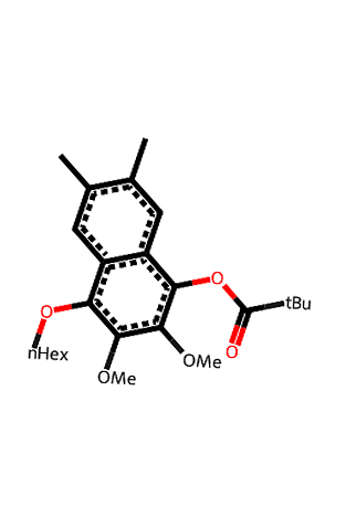 CCCCCCOc1c(OC)c(OC)c(OC(=O)C(C)(C)C)c2cc(C)c(C)cc12